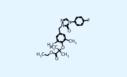 CCOC(=O)C(C)(C)Oc1c(C)cc(Cn2ncn(-c3ccc(F)cc3)c2=O)cc1C